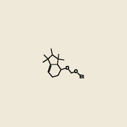 CCOCOC1CCC=C2C1C(C)(C)C(C)C2(C)C